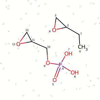 CCC1CO1.O=P(O)(O)OCC1CO1